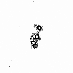 O=C(c1ccc2nccnc2c1)c1c(F)c(F)cc(OCc2cccc(F)c2)c1F